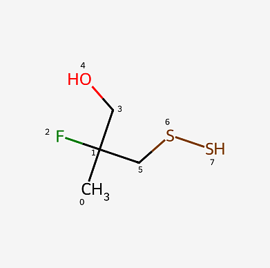 CC(F)(CO)CSS